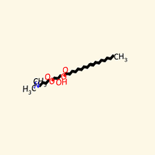 CCCCCCCC/C=C/CCCCCCCC(=O)OCC(O)COC(=O)CCCN(C)C